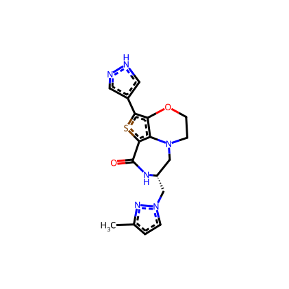 Cc1ccn(C[C@H]2CN3CCOc4c(-c5cn[nH]c5)sc(c43)C(=O)N2)n1